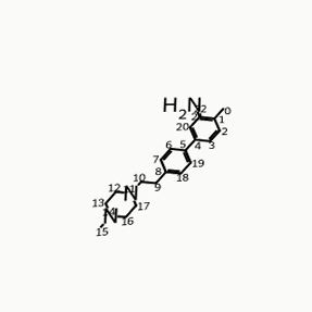 Cc1ccc(-c2ccc(CCN3CCN(C)CC3)cc2)cc1N